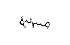 O=C(CCCCC1CCSS1)NCCN1C(=O)C=CC1=O